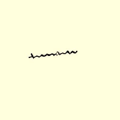 CCCCCCCCOCCCCCCCCCC(C)C